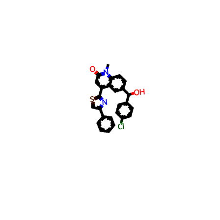 Cn1c(=O)cc(-c2nc(-c3ccccc3)cs2)c2cc(C(O)c3ccc(Cl)cc3)ccc21